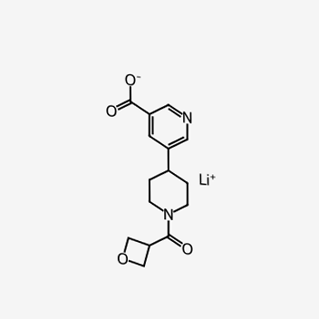 O=C([O-])c1cncc(C2CCN(C(=O)C3COC3)CC2)c1.[Li+]